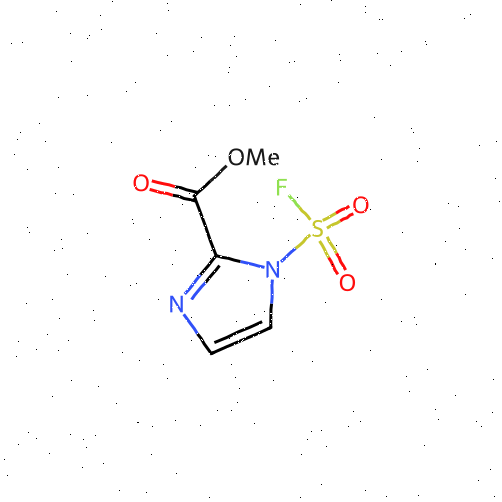 COC(=O)c1nccn1S(=O)(=O)F